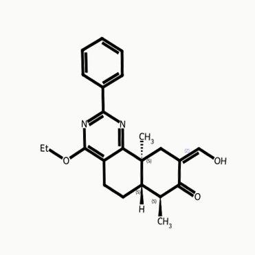 CCOc1nc(-c2ccccc2)nc2c1CC[C@H]1[C@H](C)C(=O)/C(=C\O)C[C@]21C